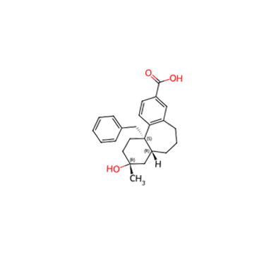 C[C@@]1(O)CC[C@@]2(Cc3ccccc3)c3ccc(C(=O)O)cc3CCC[C@@H]2C1